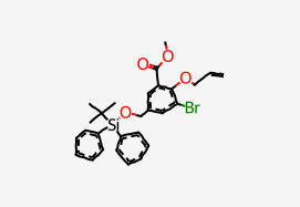 C=CCOc1c(Br)cc(CO[Si](c2ccccc2)(c2ccccc2)C(C)(C)C)cc1C(=O)OC